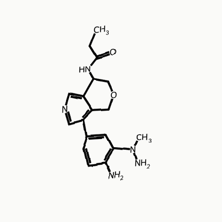 CCC(=O)NC1COCc2c(-c3ccc(N)c(N(C)N)c3)cncc21